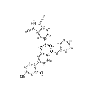 O=C(Oc1cc(-c2ccc(Cl)cc2Cl)cnc1OCc1ccccc1)c1ccc2c(c1)C(=O)NC2=O